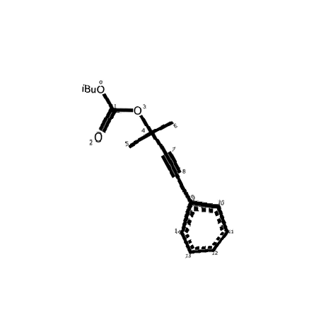 CC(C)COC(=O)OC(C)(C)C#Cc1ccccc1